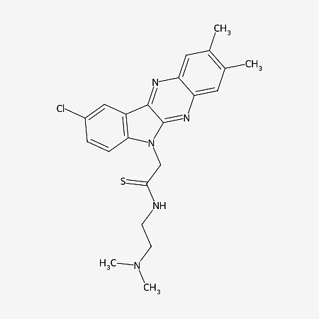 Cc1cc2nc3c4cc(Cl)ccc4n(CC(=S)NCCN(C)C)c3nc2cc1C